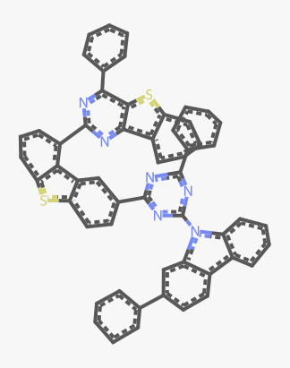 c1ccc(-c2ccc3c4ccccc4n(-c4nc(-c5ccccc5)nc(-c5ccc6sc7cccc(-c8nc(-c9ccccc9)c9sc%10ccccc%10c9n8)c7c6c5)n4)c3c2)cc1